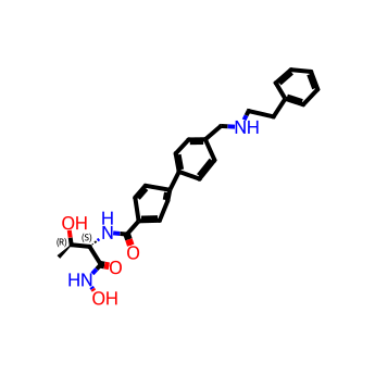 C[C@@H](O)[C@H](NC(=O)c1ccc(-c2ccc(CNCCc3ccccc3)cc2)cc1)C(=O)NO